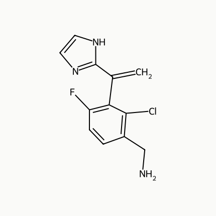 C=C(c1ncc[nH]1)c1c(F)ccc(CN)c1Cl